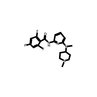 CN1CCC(N(C)c2cccc(NC(=O)c3c(F)cc(F)cc3F)n2)CC1